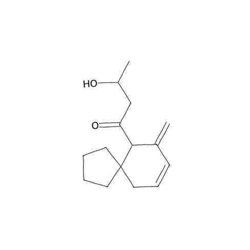 C=C1C=CCC2(CCCC2)C1C(=O)CC(C)O